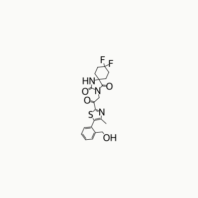 Cc1nc(C(=O)CN2C(=O)NC3(CCC(F)(F)CC3)C2=O)sc1-c1ccccc1CO